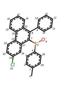 Cc1ccc([S+]([O-])c2c(-c3ccccc3)c3ccccc3c3ccc(Cl)cc23)cc1